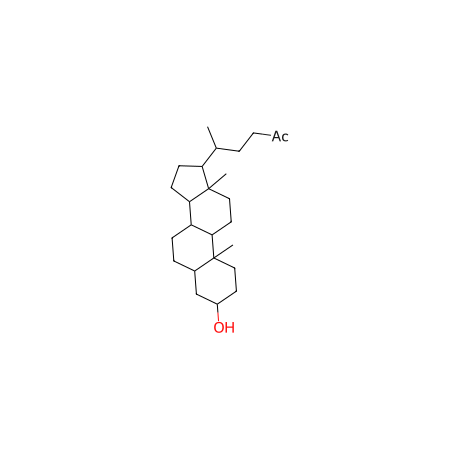 CC(=O)CCC(C)C1CCC2C3CCC4CC(O)CCC4(C)C3CCC12C